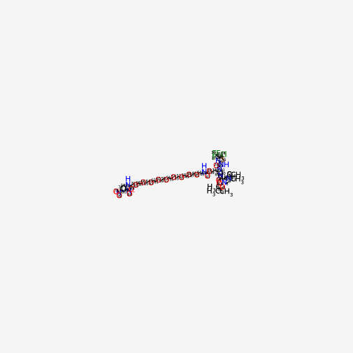 CC(C)(C)OC(=O)N1CCN(C(C)(C)C)CC1C(=O)N1CCN(C(=O)Nc2nc(C(F)(F)F)c(Cl)s2)C(CCOC(=O)NCCOCCOCCOCCOCCOCCOCCOCCOCCOCCNc2ccc([N+](=O)[O-])cc2[N+](=O)[O-])C1